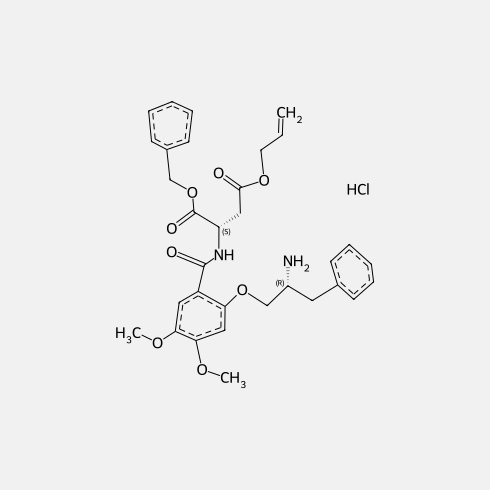 C=CCOC(=O)C[C@H](NC(=O)c1cc(OC)c(OC)cc1OC[C@H](N)Cc1ccccc1)C(=O)OCc1ccccc1.Cl